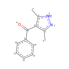 Cc1n[nH]c(C)c1C(=O)c1ccccc1